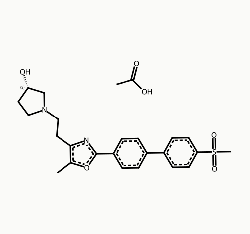 CC(=O)O.Cc1oc(-c2ccc(-c3ccc(S(C)(=O)=O)cc3)cc2)nc1CCN1CC[C@H](O)C1